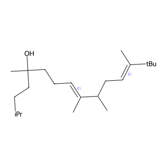 C/C(=C\CCC(C)(O)CCC(C)C)C(C)C/C=C(\C)C(C)(C)C